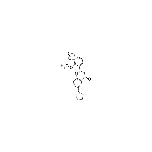 COc1cccc(C2=Nc3ccc(N4CCCC4)cc3C(=O)C2)c1OC